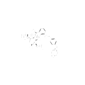 BC1CC(=O)N(B)C(=O)C1(B)N1Cc2c(OCc3ccc(CN4CCOCC4)cc3)cccc2C1=O